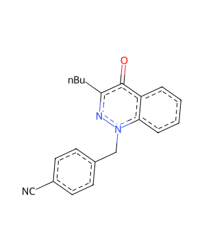 CCCCc1nn(Cc2ccc(C#N)cc2)c2ccccc2c1=O